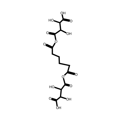 O=C(CCCCC(=O)OC(=O)C(O)C(O)C(=O)O)OC(=O)C(O)C(O)C(=O)O